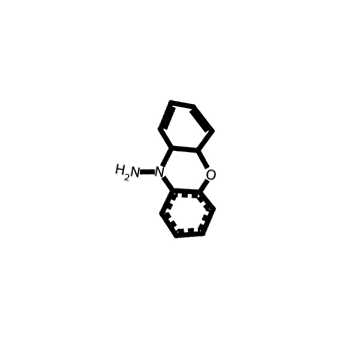 NN1c2ccccc2OC2C=CC=CC21